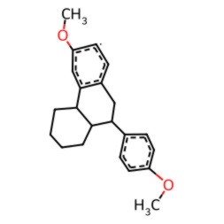 COc1[c]cc2c(c1)C1CCCCC1C(c1ccc(OC)cc1)C2